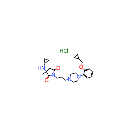 CC1(NC2CC2)CC(=O)N(CCCN2CCN(c3ccccc3OCC3CC3)CC2)C1=O.Cl